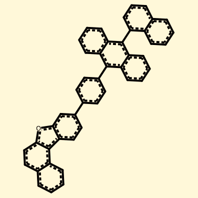 c1ccc2c(-c3c4ccccc4c(-c4ccc(-c5ccc6c(c5)oc5ccc7ccccc7c56)cc4)c4ccccc34)cccc2c1